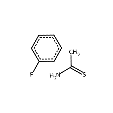 CC(N)=S.Fc1ccccc1